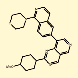 COC1CCC(c2ncc3cncc(-c4ccc5c(N6CCOCC6)nccc5c4)c3n2)CC1